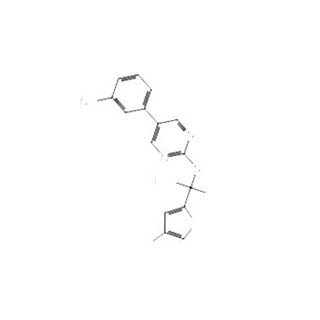 Cc1csc(C(C)(C)Nc2ncc(-c3cccc(C#N)c3)cn2)c1